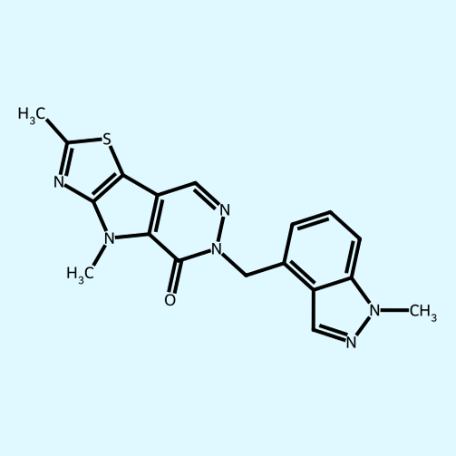 Cc1nc2c(s1)c1cnn(Cc3cccc4c3cnn4C)c(=O)c1n2C